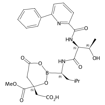 COC(=O)[C@]1(CC(=O)O)CC(=O)OB([C@H](CC(C)C)NC(=O)[C@@H](NC(=O)c2cccc(-c3ccccc3)n2)[C@@H](C)O)O1